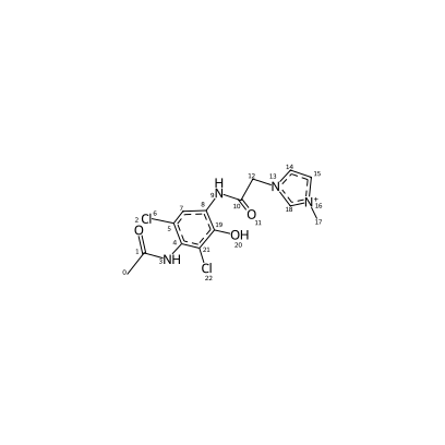 CC(=O)Nc1c(Cl)cc(NC(=O)Cn2cc[n+](C)c2)c(O)c1Cl